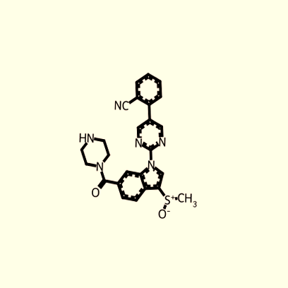 C[S+]([O-])c1cn(-c2ncc(-c3ccccc3C#N)cn2)c2cc(C(=O)N3CCNCC3)ccc12